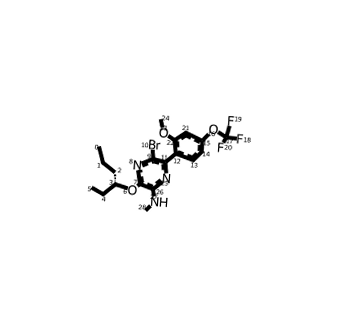 CCC[C@@H](CC)Oc1nc(Br)c(-c2ccc(OC(F)(F)F)cc2OC)nc1NC